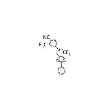 N#Cc1ccc(N(Cc2csc(-c3ccccc3)n2)CC(F)(F)F)cc1C(F)(F)F